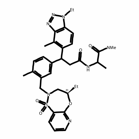 CC[C@@H]1CN(Cc2cc(C(CC(=O)NC(C)C(=O)NC)c3ccc4c(nnn4CC)c3C)ccc2C)S(=O)(=O)c2cccnc2O1